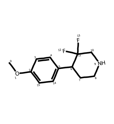 COc1ccc(C2CCNCC2(F)F)cc1